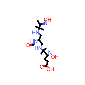 C/C(=N\O)C(C)(C)NCC(CNC(C)(C)/C(CCC(=O)O)=N/O)NC=O